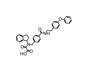 O=C(O)C(=O)N(Cc1ccc(C(=O)NCCc2ccc(Oc3ccccc3)cc2)cc1)C1CCc2ccccc21